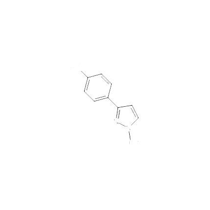 CCCn1ccc(-c2ccc(O)cc2)n1